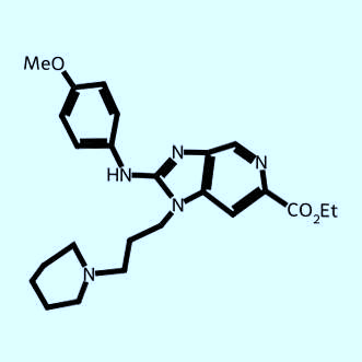 CCOC(=O)c1cc2c(cn1)nc(Nc1ccc(OC)cc1)n2CCCN1CCCCC1